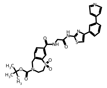 CC(C)(C)OC(=O)N1CCS(=O)(=O)c2cc(C(=O)NCC(=O)Nc3nc(-c4cccc(-c5ccncc5)c4)cs3)ccc2C1